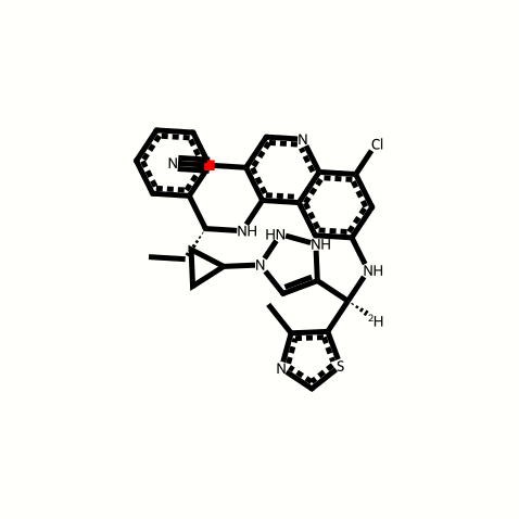 [2H][C@@](Nc1cc(Cl)c2ncc(C#N)c(N[C@H](CC)c3ccccc3)c2c1)(C1=CN(C2CC2)NN1)c1scnc1C